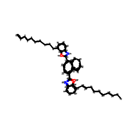 CCCCCCCCCCc1cccc2nc(-c3ccc(-c4nc5cccc(CCCCCCCCCC)c5o4)c4ccccc34)oc12